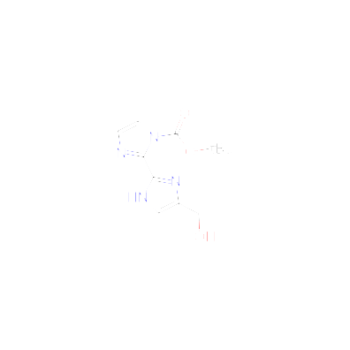 CC(C)(C)OC(=O)n1ccnc1-c1nc(CO)c[nH]1